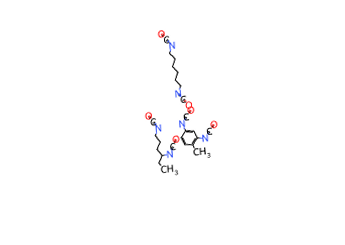 CCC(CCCN=C=O)N=C=O.Cc1ccc(N=C=O)cc1N=C=O.O=C=NCCCCCCN=C=O